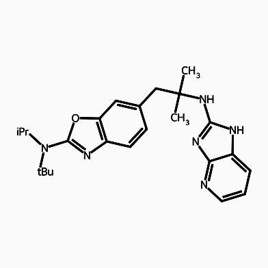 CC(C)N(c1nc2ccc(CC(C)(C)Nc3nc4ncccc4[nH]3)cc2o1)C(C)(C)C